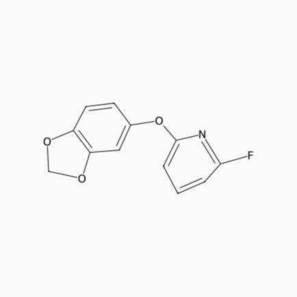 Fc1cccc(Oc2ccc3c(c2)OCO3)n1